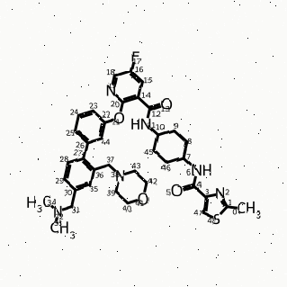 Cc1nc(C(=O)NC2CCC(NC(=O)c3cc(F)cnc3Oc3cccc(-c4ccc(CN(C)C)cc4CN4CCOCC4)c3)CC2)cs1